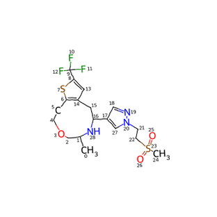 CC1COCCc2sc(C(F)(F)F)cc2CC(c2cnn(CCS(C)(=O)=O)c2)N1